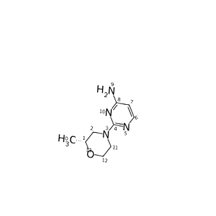 C[C@@H]1CN(c2nccc(N)n2)CCO1